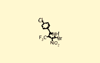 O=[N+]([O-])c1c(Br)[nH]c(-c2ccc(Cl)cc2)c1C(F)(F)F